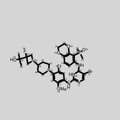 CCc1cc(NC2=NC=C(Br)C(Nc3ccc4c(c3P(C)(C)=O)OCCO4)N2)c(OC)cc1N1CCC(N2CC(F)(C(C)(C)O)C2)CC1